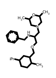 CC1CN(CC(COCC2CC(C(C)C)CCC2C)NCc2ccccc2)CC(C)O1